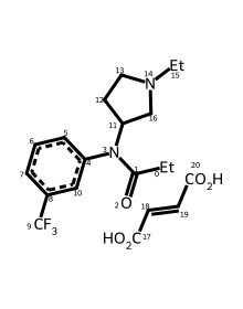 CCC(=O)N(c1cccc(C(F)(F)F)c1)C1CCN(CC)C1.O=C(O)C=CC(=O)O